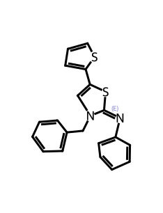 c1ccc(Cn2cc(-c3cccs3)s/c2=N/c2ccccc2)cc1